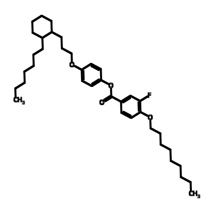 CCCCCCCCCOc1ccc(C(=O)Oc2ccc(OCCCC3CCCCC3CCCCCCC)cc2)cc1F